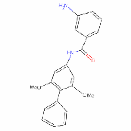 COc1cc(NC(=O)c2cccc(N)c2)cc(OC)c1-c1ccccc1